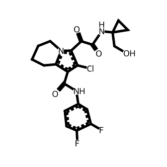 O=C(NC1(CO)CC1)C(=O)c1c(Cl)c(C(=O)Nc2ccc(F)c(F)c2)c2n1CCCC2